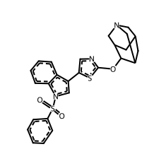 O=S(=O)(c1ccccc1)n1cc(-c2cnc(OC3C4CC5CC3CN(C5)C4)s2)c2ccccc21